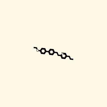 CCCc1ccc(CCc2ccc(-c3ccc(OCC)cc3)cc2)nc1